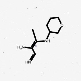 C/C(NC1CCCOC1)=C(\N)C=N